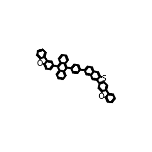 c1ccc2c(c1)oc1ccc(-c3c4ccccc4c(-c4ccc(-c5ccc6cc7sc8cc9c(cc8c7cc6c5)oc5ccccc59)cc4)c4ccccc34)cc12